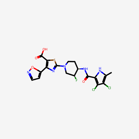 Cc1[nH]c(C(=O)N[C@@H]2CCN(c3nc(-c4ccno4)c(C(=O)O)s3)C[C@@H]2F)c(Cl)c1Cl